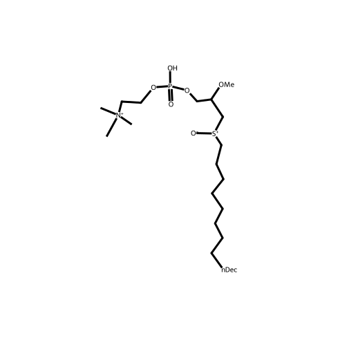 CCCCCCCCCCCCCCCCCC[S+]([O-])CC(COP(=O)(O)OCC[N+](C)(C)C)OC